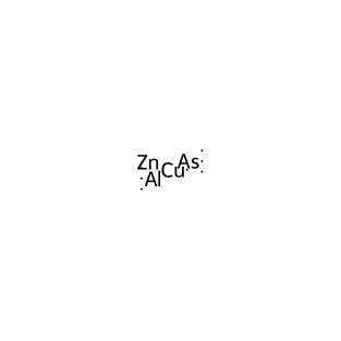 [Al].[As].[Cu].[Zn]